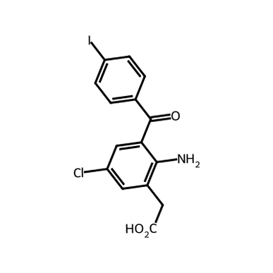 Nc1c(CC(=O)O)cc(Cl)cc1C(=O)c1ccc(I)cc1